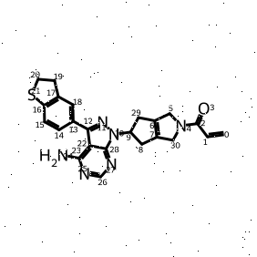 C=CC(=O)N1CC2=C(CC(n3nc(-c4ccc5c(c4)CCS5)c4c(N)ncnc43)C2)C1